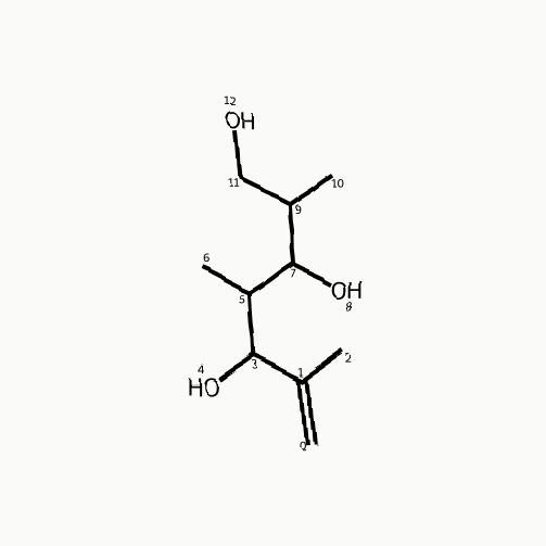 C=C(C)C(O)C(C)C(O)C(C)CO